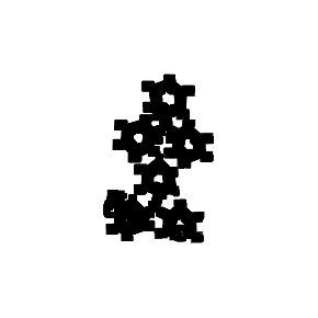 [CH2]=[Pt].c1ccc(P(c2ccccc2)c2ccccc2)cc1.c1ccc(P(c2ccccc2)c2ccccc2)cc1